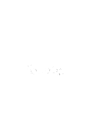 CCOC(Cc1ccc(OCCc2ccc(OS(C)=O)cc2)cc1)C(=O)O